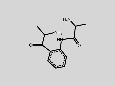 CC(N)C(=O)Nc1ccccc1C(=O)C(C)N